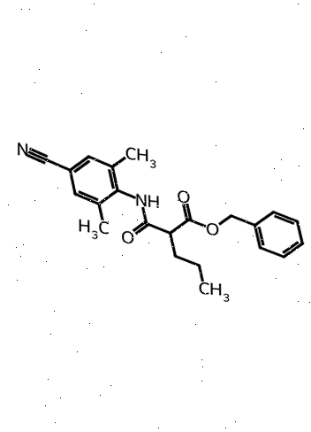 CCCC(C(=O)Nc1c(C)cc(C#N)cc1C)C(=O)OCc1ccccc1